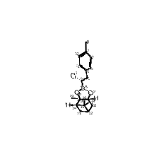 Cc1ccc(C[C@@H](Cl)B2O[C@@H]3CC4C[C@@H](C4(C)C)[C@]3(C)O2)cc1